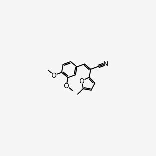 COc1ccc(C=C(C#N)c2ccc(C)o2)cc1OC